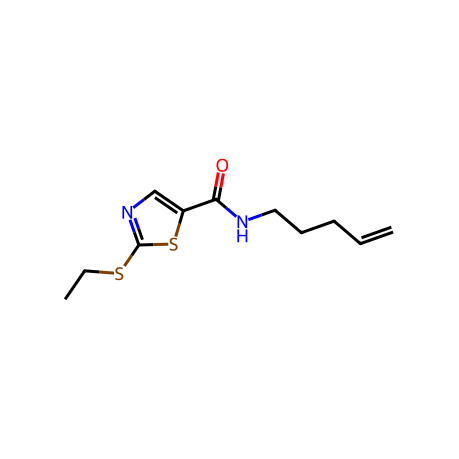 C=CCCCNC(=O)c1cnc(SCC)s1